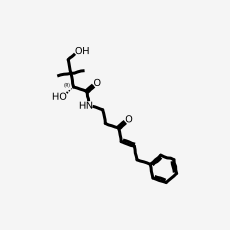 CC(C)(CO)[C@@H](O)C(=O)NCCC(=O)C=CCc1ccccc1